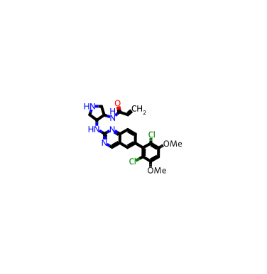 C=CC(=O)NC1CNCC1Nc1ncc2cc(-c3c(Cl)c(OC)cc(OC)c3Cl)ccc2n1